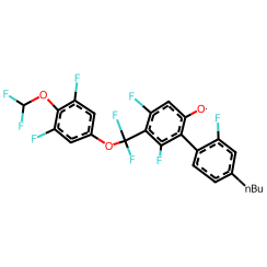 CCCCc1ccc(-c2c([O])cc(F)c(C(F)(F)Oc3cc(F)c(OC(F)F)c(F)c3)c2F)c(F)c1